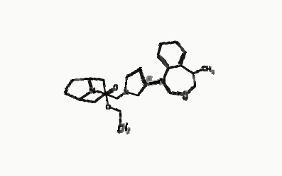 CCOC(=O)N1C2CCC1CC(CN1CC[C@@H](N3COCC(C)C4=CCCC=C43)C1)C2